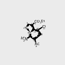 CCOC(=O)c1cnn2c(N)c(C(C)=O)cc(Cl)c12